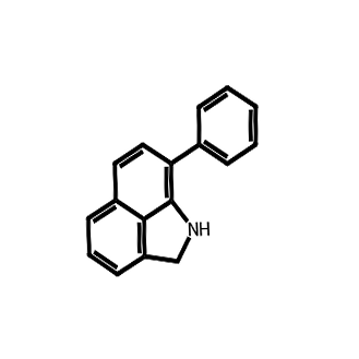 c1ccc(-c2ccc3cccc4c3c2NC4)cc1